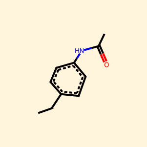 C[CH]c1ccc(NC(C)=O)cc1